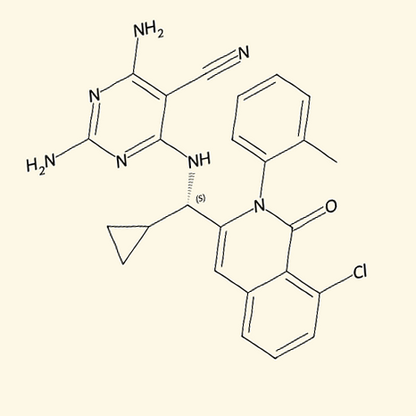 Cc1ccccc1-n1c([C@@H](Nc2nc(N)nc(N)c2C#N)C2CC2)cc2cccc(Cl)c2c1=O